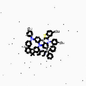 C=C/C=C\C(=C/C)[Si](c1ccccc1)(c1ccccc1)c1cc2c3c(c1)N(c1ccc(C(C)(C)C)cc1)c1c(sc4ccc(C(C)(C)C)cc14)B3c1ccc(N(c3ccc(C(C)(C)C)cc3)c3ccc(C(C)(C)C)cc3)cc1N2c1ccc2c(c1)-c1ccccc1C2(C)C